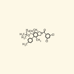 Cc1ccc(-c2c(C)c3c(c(C)c2[C@@H](C)OC(C)(C)C)CN(C(=O)c2cc(Cl)cc(Cl)c2)C3)cc1